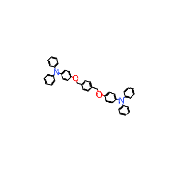 c1ccc(N(c2ccccc2)c2ccc(OCc3ccc(COc4ccc(N(c5ccccc5)c5ccccc5)cc4)cc3)cc2)cc1